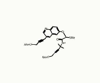 COCC#Cc1cnc2ccc(OC(SC)C(=O)NC(C)(C)C#CCOC)cc2c1